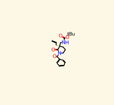 C=CC[C@]1(CNC(=O)OC(C)(C)C)CCCN(C(=O)c2ccccc2)C1=O